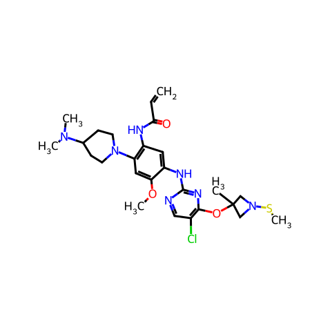 C=CC(=O)Nc1cc(Nc2ncc(Cl)c(OC3(C)CN(SC)C3)n2)c(OC)cc1N1CCC(N(C)C)CC1